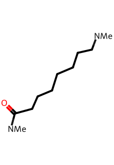 CNCCCCCCCC(=O)NC